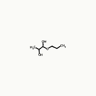 CC[CH]OC(O)C(C)O